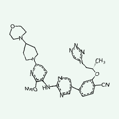 COc1nc(N2CCC(N3CCOCC3)CC2)ccc1Nc1ncc(-c2ccc(C#N)c(O[C@@H](C)Cn3cnnn3)c2)cn1